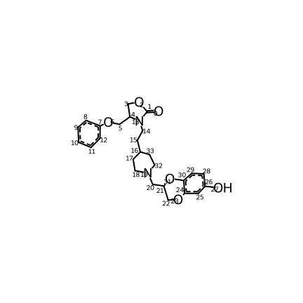 O=C1OCC(COc2ccccc2)N1CCC1CCN(CC2COc3cc(O)ccc3O2)CC1